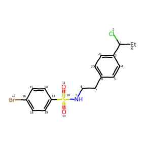 CCC(Cl)c1ccc(CCNS(=O)(=O)c2ccc(Br)cc2)cc1